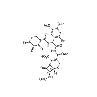 CCN1CCN(C(=O)NC(C(=O)NC(OC(C)=O)C2=C(C(=O)O)N3C(=O)[C@H](NC=O)[C@H]3SC2)c2cc(OC(C)=O)c(OC(C)=O)cc2Br)C(=O)C1=O